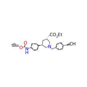 C#Cc1ccc(CN2C[C@@H](CC(=O)OCC)C[C@H](c3ccc(NC(=O)OC(C)(C)C)cc3)C2)cc1